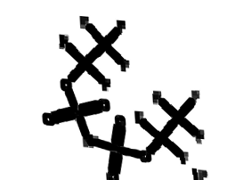 O=S(=O)([N-]S(=O)(=O)OC(F)(F)C(F)(F)F)OC(F)(F)C(F)(F)F.[Li+]